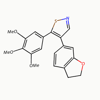 COc1cc(-c2sncc2-c2ccc3c(c2)OCC3)cc(OC)c1OC